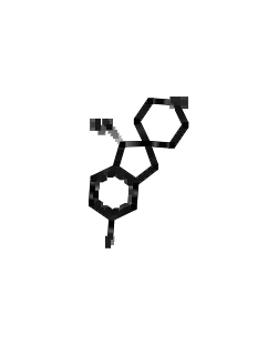 N[C@H]1c2ccc(F)cc2CC12CCNCC2